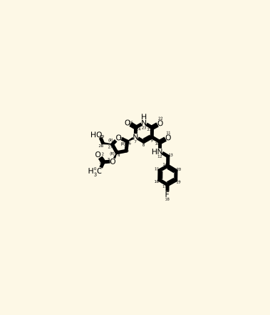 CC(=O)O[C@@H]1C[C@H](n2cc(C(=O)NCc3ccc(F)cc3)c(=O)[nH]c2=O)O[C@@H]1CO